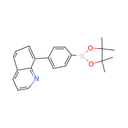 CC1(C)OB(c2ccc(-c3cccc4cccnc34)cc2)OC1(C)C